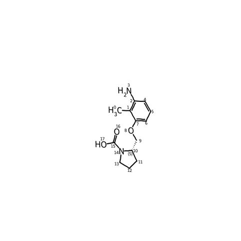 Cc1c(N)cccc1OC[C@@H]1CCCN1C(=O)O